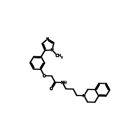 Cn1cncc1-c1cccc(OCC(=O)NCCCN2CCc3ccccc3C2)c1